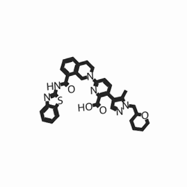 Cc1c(-c2ccc(N3CCc4cccc(C(=O)Nc5nc6ccccc6s5)c4C3)nc2C(=O)O)cnn1CC1CCCCO1